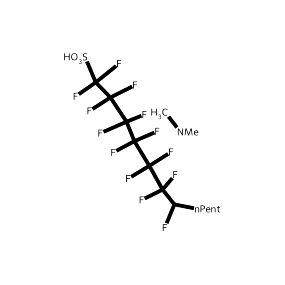 CCCCCC(F)C(F)(F)C(F)(F)C(F)(F)C(F)(F)C(F)(F)C(F)(F)S(=O)(=O)O.CNC